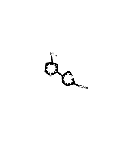 COc1ccc(-c2cc(N)ccn2)cc1